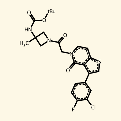 CC1(NC(=O)OC(C)(C)C)CN(C(=O)Cn2ccc3scc(-c4ccc(F)c(Cl)c4)c3c2=O)C1